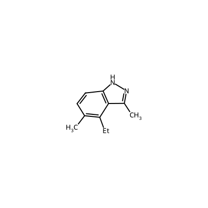 CCc1c(C)ccc2[nH]nc(C)c12